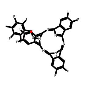 Cc1c(F)c(F)c(OSn2c3nc4nc(nc5[nH]c(nc2c2cc(F)c(F)cc23)c2cc(F)c(F)cc52)-c2cc(F)c(F)cc2-4)c(F)c1F